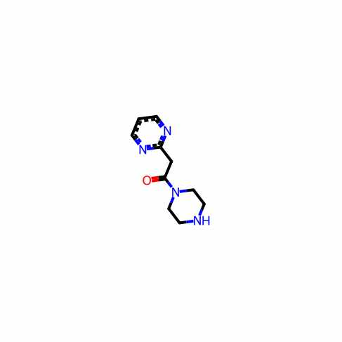 O=C(Cc1ncccn1)N1CCNCC1